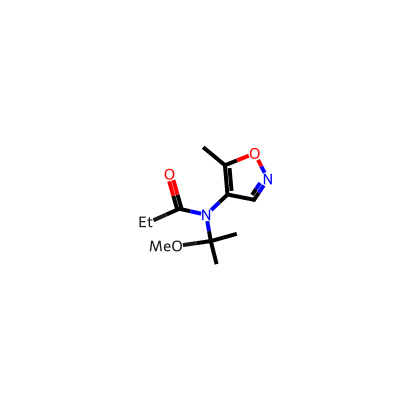 CCC(=O)N(c1cnoc1C)C(C)(C)OC